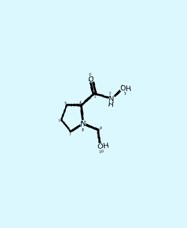 O=C(NO)C1CCCN1CO